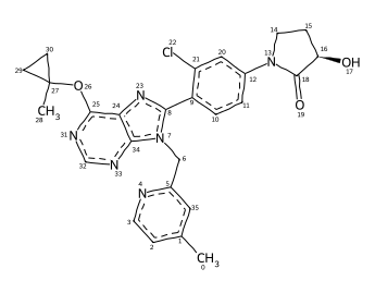 Cc1ccnc(Cn2c(-c3ccc(N4CC[C@@H](O)C4=O)cc3Cl)nc3c(OC4(C)CC4)ncnc32)c1